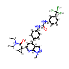 CCN(CC)C(=O)C1(c2cc(-c3ccc(NC(=O)Nc4cccc(C(F)(F)F)c4)cc3)c3cnn(C)c3n2)CC1